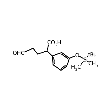 CC(C)(C)[Si](C)(C)Oc1cccc(C(CCC=O)C(=O)O)c1